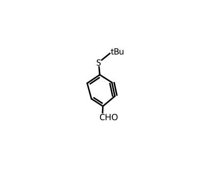 CC(C)(C)Sc1c#cc(C=O)cc1